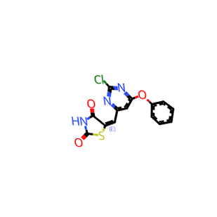 O=C1NC(=O)/C(=C\c2cc(Oc3ccccc3)nc(Cl)n2)S1